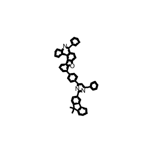 CC1(C)c2ccccc2-c2cc(-c3nc(-c4ccccc4)cc(-c4ccc(-c5cccc6c5oc5ccc7c(-c8ccccc8)nc8ccccc8c7c56)cc4)n3)ccc21